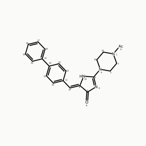 CC(=O)N1CCN(C2=NC(=O)C(=Cc3ccc(-c4ccccc4)cc3)N2)CC1